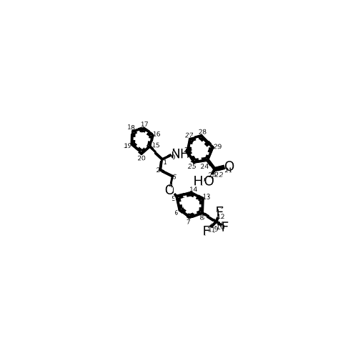 NC(CCOc1ccc(C(F)(F)F)cc1)c1ccccc1.O=C(O)c1ccccc1